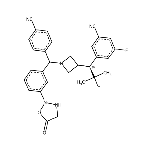 CC(C)(F)[C@H](c1cc(F)cc(C#N)c1)C1CN(C(c2ccc(C#N)cc2)c2cccc(N3NCC(=O)O3)c2)C1